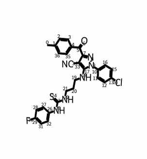 Cc1ccc(C(=O)c2nn(-c3ccc(Cl)cc3)c(NCCCNC(=S)Nc3ccc(F)cc3)c2C#N)cc1